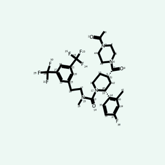 CC(=O)N1CCN(C(=O)[C@H]2CCN(C(=O)N(C)CCc3cc(C(F)(F)F)cc(C(F)(F)F)c3)[C@@H](c3ccc(F)cc3C)C2)CC1